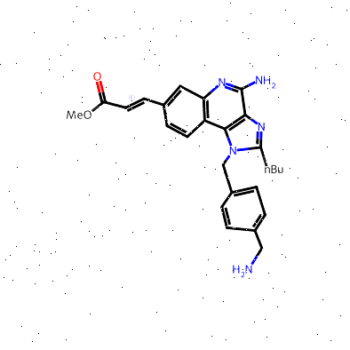 CCCCc1nc2c(N)nc3cc(/C=C/C(=O)OC)ccc3c2n1Cc1ccc(CN)cc1